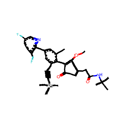 COC1=C(c2c(C)cc(-c3ncc(F)cc3F)cc2C#C[Si](C)(C)C)C(=O)CC1CC(=O)NC(C)(C)C